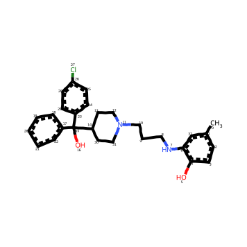 Cc1ccc(O)c(NCCCN2CCC(C(O)(c3ccccc3)c3ccc(Cl)cc3)CC2)c1